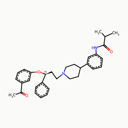 CC(=O)c1cccc(O[C@@H](CCN2CCC(c3cccc(NC(=O)C(C)C)c3)CC2)c2ccccc2)c1